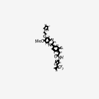 COc1cc2nc(-c3ccc(CC(=O)Nc4cc(C5(C(F)(F)F)CC5)on4)c(F)c3)cnc2cc1OCCN1CCCC1